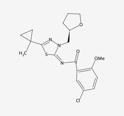 COc1ccc(Cl)cc1C(=O)N=c1sc(C2(C)CC2)nn1C[C@H]1CCCO1